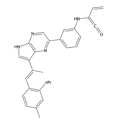 C=CC(=C=O)Nc1cccc(-c2cnc3[nH]cc(/C(C)=C/c4ccc(C)cc4CCC)c3n2)c1